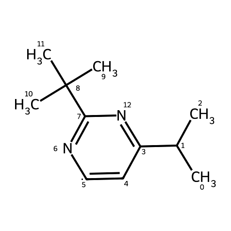 CC(C)c1c[c]nc(C(C)(C)C)n1